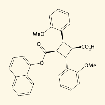 COc1ccccc1[C@H]1[C@H](C(=O)O)[C@H](c2ccccc2OC)[C@@H]1C(=O)Oc1cccc2ccccc12